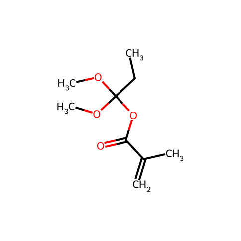 C=C(C)C(=O)OC(CC)(OC)OC